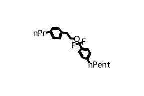 CCCCCc1ccc(C(F)(F)OCCc2ccc(CCC)cc2)cc1